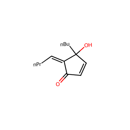 CCC/C=C1\C(=O)C=CC1(O)CCCC